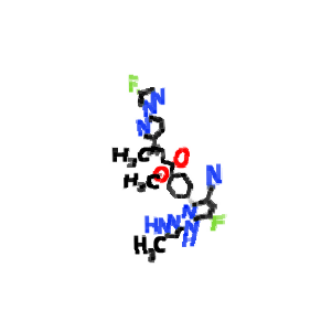 CO[C@]1(C(=O)CC[C@@H](C)c2ccc(-n3cc(F)cn3)nc2)CC[C@H](c2nc(Nc3cc(C)[nH]n3)c(F)cc2C#N)CC1